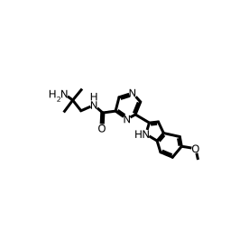 COc1ccc2[nH]c(-c3cncc(C(=O)NCC(C)(C)N)n3)cc2c1